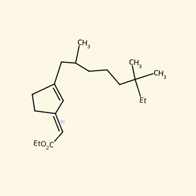 CCOC(=O)/C=C1/C=C(CC(C)CCCC(C)(C)CC)CC1